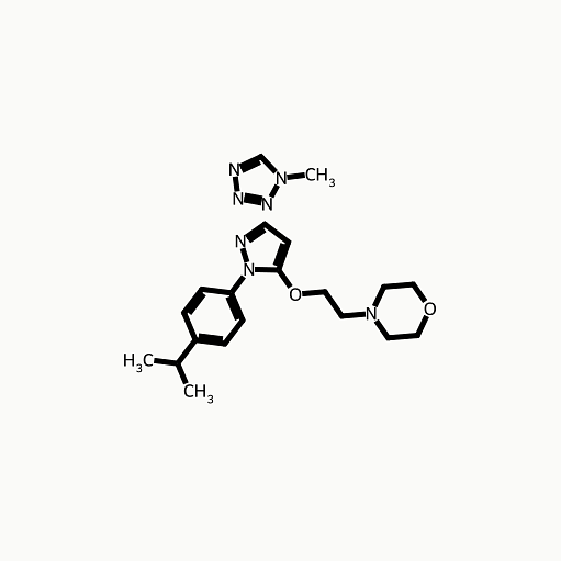 CC(C)c1ccc(-n2nccc2OCCN2CCOCC2)cc1.Cn1cnnn1